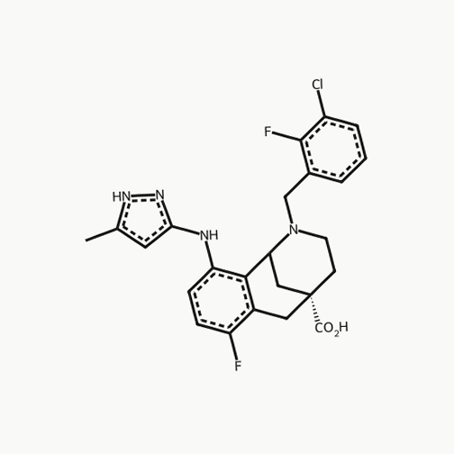 Cc1cc(Nc2ccc(F)c3c2C2C[C@@](C(=O)O)(CCN2Cc2cccc(Cl)c2F)C3)n[nH]1